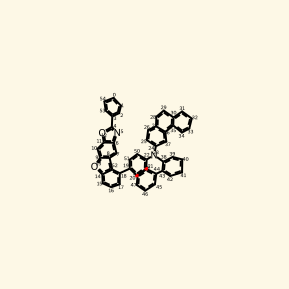 c1ccc(-c2nc3cc4c(cc3o2)oc2cccc(-c3ccc(N(c5ccc6ccc7ccccc7c6c5)c5ccccc5-c5ccccc5)cc3)c24)cc1